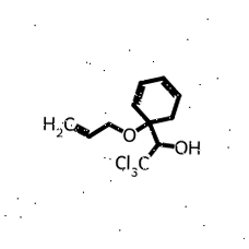 C=CCOC1(C(O)C(Cl)(Cl)Cl)C=CC=CC1